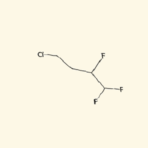 FC(F)C(F)CCCl